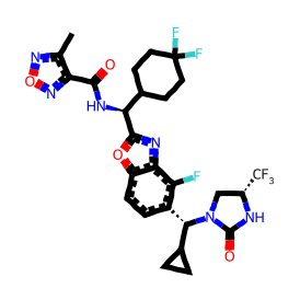 Cc1nonc1C(=O)N[C@H](c1nc2c(F)c([C@@H](C3CC3)N3C[C@H](C(F)(F)F)NC3=O)ccc2o1)C1CCC(F)(F)CC1